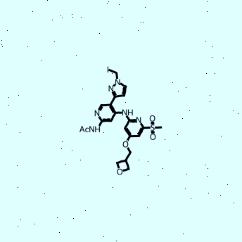 CC(=O)Nc1cc(Nc2cc(OCC3COC3)cc(S(C)(=O)=O)n2)c(-c2ccn(CI)n2)cn1